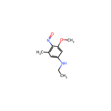 CCNc1cc(C)c(N=O)c(OC)c1